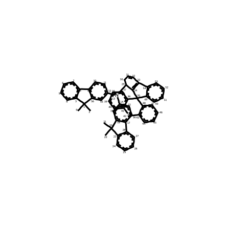 CC1(C)c2ccccc2-c2ccc(N(c3ccc4c(c3)C(C)(C)c3ccccc3-4)C3CC=CC4=C3C3(c5ccccc5Oc5ccccc53)c3ccccc34)cc21